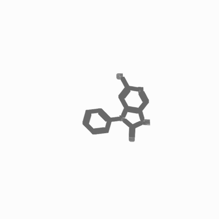 O=c1[nH]c2cnc(Cl)cc2n1-c1ccccc1